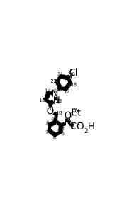 CCON(C(=O)O)c1ccccc1COc1ccn(-c2ccc(Cl)cc2)n1